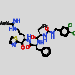 CNC(=N)NCCC[C@H](NC(=O)[C@H](Cc1ccccc1)NC(=O)[C@H](CC(C)C)NC(=O)NCc1ccc(Cl)c(Cl)c1)C(=O)c1nccs1